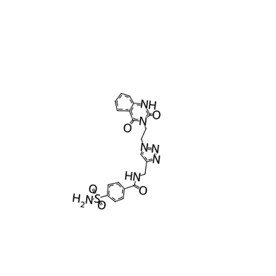 NS(=O)(=O)c1ccc(C(=O)NCc2cn(CCn3c(=O)[nH]c4ccccc4c3=O)nn2)cc1